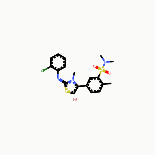 Br.Cc1ccc(-c2csc(=Nc3ccccc3Cl)n2C)cc1S(=O)(=O)N(C)C